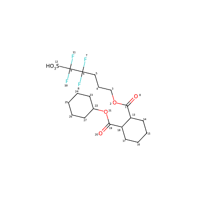 O=C(OCCCC(F)(F)C(F)(F)S(=O)(=O)O)C1CCCCC1C(=O)OC1CCCCC1